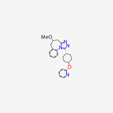 COC1Cc2ccccc2-n2c(nnc2[C@H]2CC[C@H](Oc3ccccn3)CC2)C1